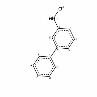 ClNc1cccc(-c2ccccc2)c1